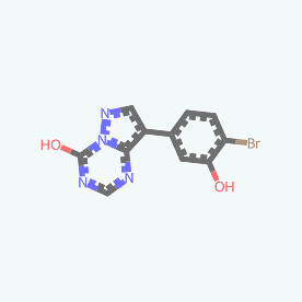 Oc1cc(-c2cnn3c(O)ncnc23)ccc1Br